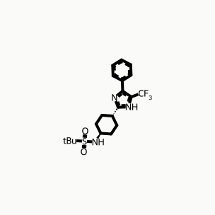 CC(C)(C)S(=O)(=O)N[C@H]1CC[C@H](c2nc(-c3ccccc3)c(C(F)(F)F)[nH]2)CC1